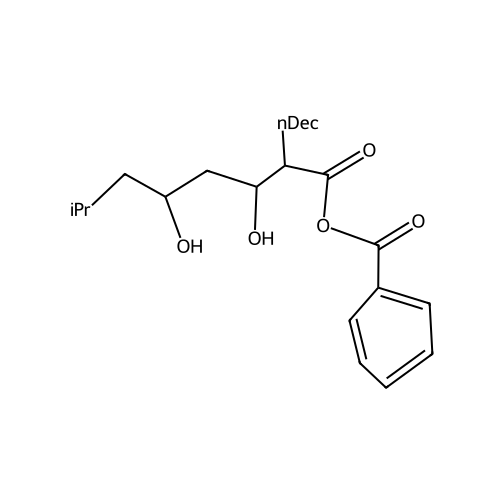 CCCCCCCCCCC(C(=O)OC(=O)c1ccccc1)C(O)CC(O)CC(C)C